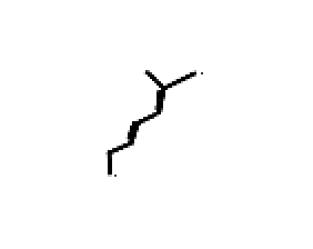 [CH2]CC=CC=C([CH2])C